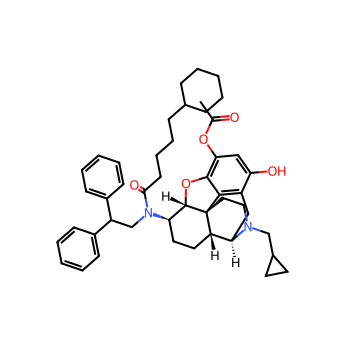 CC(=O)Oc1cc(O)c2c3c1O[C@H]1[C@H](N(CC(c4ccccc4)c4ccccc4)C(=O)CCCCC4CCCCC4)CC[C@H]4[C@@H](C2)N(CC2CC2)CC[C@@]341